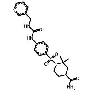 CC1(C)CC(C(N)=O)CCN1S(=O)(=O)c1ccc(NC(=O)NCc2cccnc2)cc1